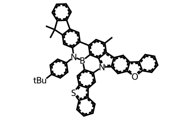 Cc1cc2c3c4c1c1cc5c(cc1n4-c1cc4c(cc1B3N(c1ccc(C(C)(C)C)cc1)c1cc3c(cc1-2)-c1ccccc1C3(C)C)sc1ccccc14)oc1ccccc15